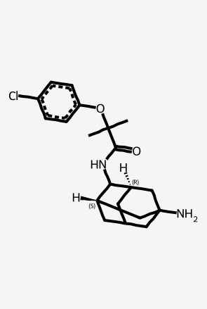 CC(C)(Oc1ccc(Cl)cc1)C(=O)NC1[C@@H]2CC3C[C@H]1CC(N)(C3)C2